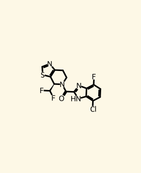 O=C(c1nc2c(F)ccc(Cl)c2[nH]1)N1CCc2ncsc2[C@@H]1C(F)F